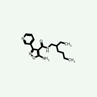 CCCCC(CC)CNC(=O)c1c(-c2cccnc2)noc1N